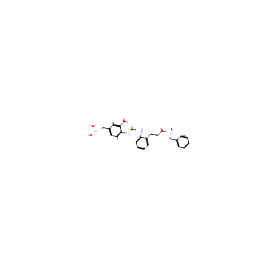 Cc1c(CNS(C)(=O)=O)cc(Br)c2nc(Nc3ccccc3CCC(=O)N(C)Cc3ccccc3)oc(=O)c12